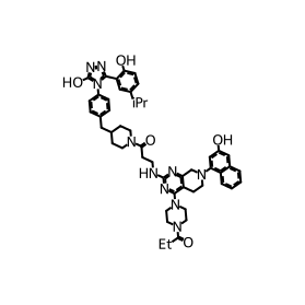 CCC(=O)N1CCN(c2nc(NCCC(=O)N3CCC(Cc4ccc(-n5c(O)nnc5-c5cc(C(C)C)ccc5O)cc4)CC3)nc3c2CCN(c2cc(O)cc4ccccc24)C3)CC1